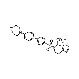 O=C(O)C1c2occc2CCN1S(=O)(=O)c1ccc(-c2ccc(N3CCOCC3)cc2)cc1